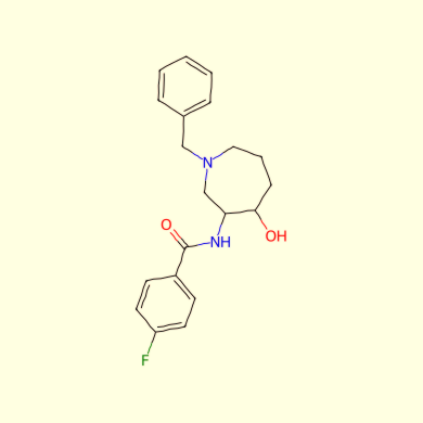 O=C(NC1CN(Cc2ccccc2)CCCC1O)c1ccc(F)cc1